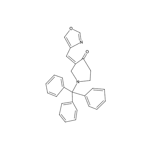 O=C1CCN(C(c2ccccc2)(c2ccccc2)c2ccccc2)CC1=Cc1cocn1